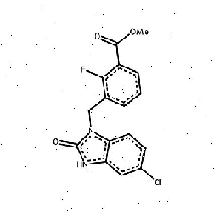 COC(=O)c1cccc(Cn2c(=O)[nH]c3cc(Cl)ccc32)c1F